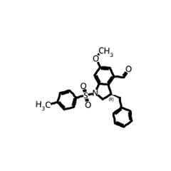 COc1cc(C=O)c2c(c1)N(S(=O)(=O)c1ccc(C)cc1)C[C@@H]2Cc1ccccc1